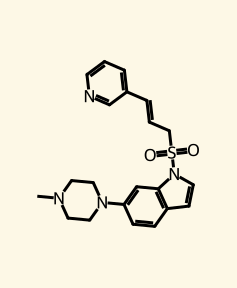 CN1CCN(c2ccc3ccn(S(=O)(=O)CC=Cc4cccnc4)c3c2)CC1